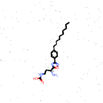 CCCCCCCCCCc1ccc(-c2noc([C@@H](N)CCNC(=O)O)n2)cc1